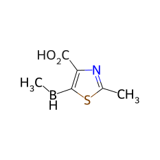 CBc1sc(C)nc1C(=O)O